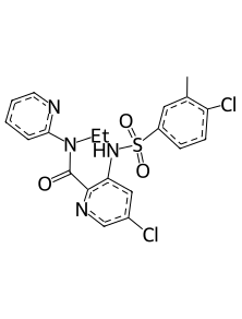 CCN(C(=O)c1ncc(Cl)cc1NS(=O)(=O)c1ccc(Cl)c(C)c1)c1ccccn1